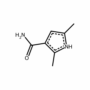 Cc1cc(C(N)=O)c(C)[nH]1